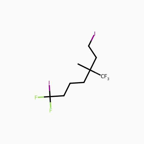 CC(CCI)(CCCC(F)(F)I)C(F)(F)F